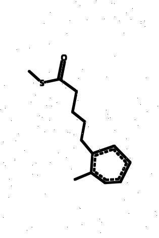 CSC(=O)CCCCc1ccccc1C